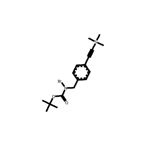 CC(C)(C)OC(=O)N(Br)Cc1ccc(C#C[Si](C)(C)C)cc1